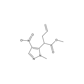 C=CCC(C(=O)OC)c1c([N+](=O)[O-])cnn1C